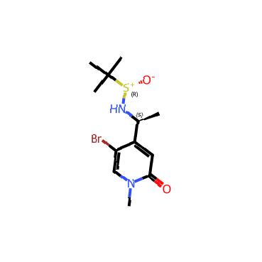 C[C@H](N[S@@+]([O-])C(C)(C)C)c1cc(=O)n(C)cc1Br